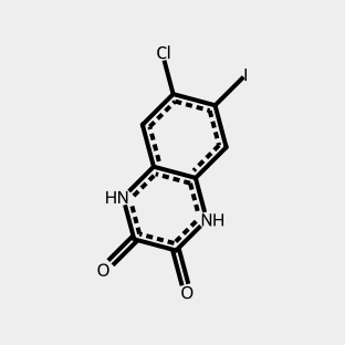 O=c1[nH]c2cc(Cl)c(I)cc2[nH]c1=O